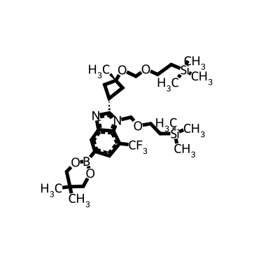 CC1(C)COB(c2cc(C(F)(F)F)c3c(c2)nc([C@H]2C[C@@](C)(OCOCC[Si](C)(C)C)C2)n3COCC[Si](C)(C)C)OC1